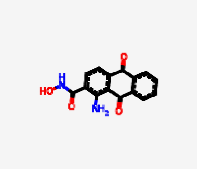 Nc1c(C(=O)NO)ccc2c1C(=O)c1ccccc1C2=O